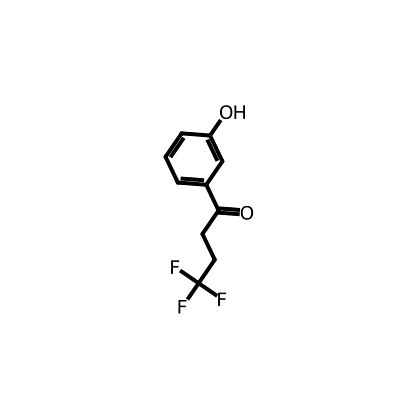 O=C(CCC(F)(F)F)c1cccc(O)c1